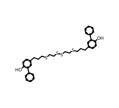 Oc1ccc(CCCSCCSSCCSCCCc2ccc(O)c(-c3ccccc3)c2)cc1-c1ccccc1